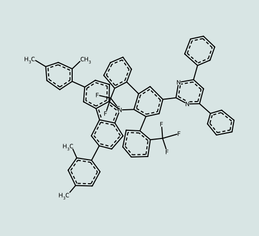 Cc1ccc(-c2ccc3c(c2)c2cc(-c4ccc(C)cc4C)ccc2n3-c2c(-c3ccccc3C(F)(F)F)cc(-c3nc(-c4ccccc4)cc(-c4ccccc4)n3)cc2-c2ccccc2C(F)(F)F)c(C)c1